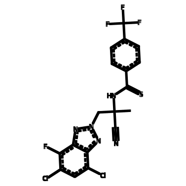 CC(C#N)(Cn1nc2c(Cl)cc(Cl)c(F)c2n1)NC(=S)c1ccc(C(F)(F)F)cc1